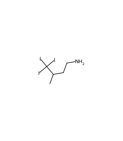 CC(CCN)C(I)(I)I